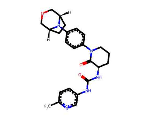 O=C(Nc1ccc(C(F)(F)F)nc1)N[C@@H]1CCCN(c2ccc(N3[C@@H]4CC[C@H]3COC4)cc2)C1=O